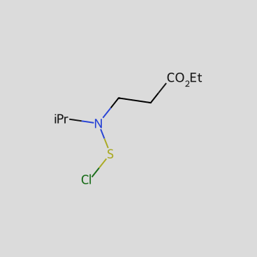 CCOC(=O)CCN(SCl)C(C)C